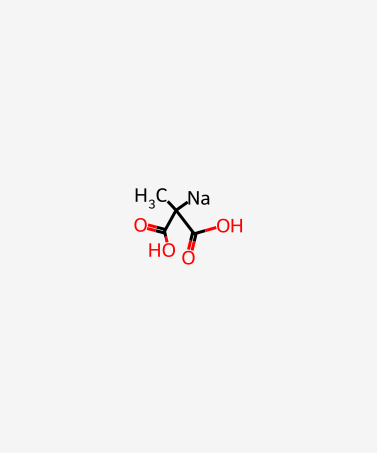 C[C]([Na])(C(=O)O)C(=O)O